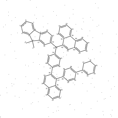 CC1(C)c2ccccc2-c2ccc(N(c3ccc(-c4ccc5ccccc5c4-c4ccc(C5=CC=CCC5)cc4)cc3)c3cc4ccccc4c4ccccc34)cc21